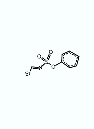 CCC=NS(=O)(=O)Oc1ccccc1